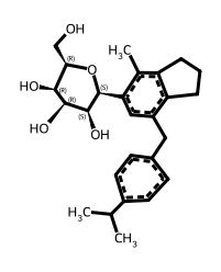 Cc1c([C@@H]2O[C@H](CO)[C@H](O)[C@H](O)[C@@H]2O)cc(Cc2ccc(C(C)C)cc2)c2c1CCC2